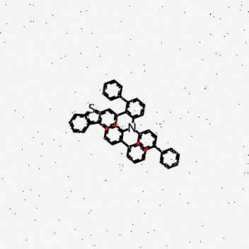 c1ccc(-c2ccc(N(c3ccccc3-c3ccccc3)c3cccc(-c4ccccc4)c3-c3ccc4c(c3)sc3ccccc34)cc2)cc1